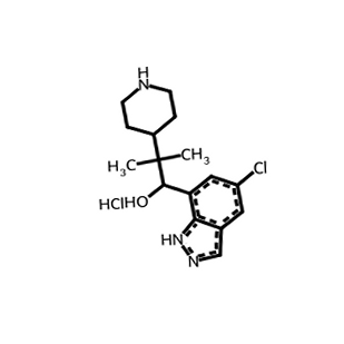 CC(C)(C1CCNCC1)C(O)c1cc(Cl)cc2cn[nH]c12.Cl